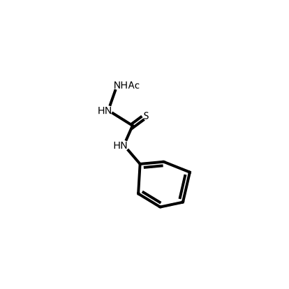 [CH2]C(=O)NNC(=S)Nc1ccccc1